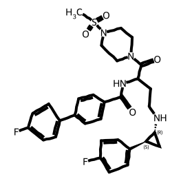 CS(=O)(=O)N1CCN(C(=O)C(CCN[C@@H]2C[C@H]2c2ccc(F)cc2)NC(=O)c2ccc(-c3ccc(F)cc3)cc2)CC1